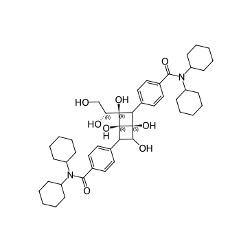 O=C(c1ccc(C2C(O)[C@@]3(O)C(c4ccc(C(=O)N(C5CCCCC5)C5CCCCC5)cc4)[C@@](O)([C@H](O)CO)[C@@]23O)cc1)N(C1CCCCC1)C1CCCCC1